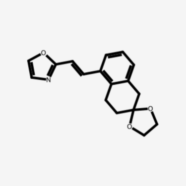 C(=C\c1cccc2c1CCC1(C2)OCCO1)/c1ncco1